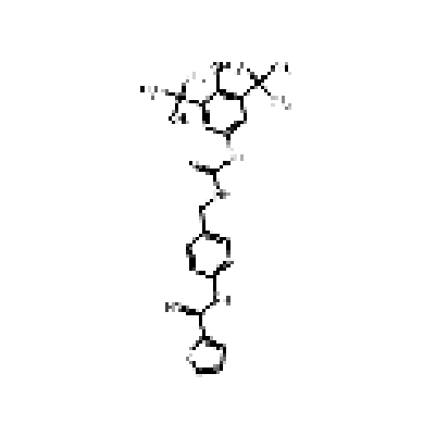 CC(C)(C)c1cc(NC(=S)NCc2ccc(NC(=N)c3cccs3)cc2)cc(C(C)(C)C)c1O